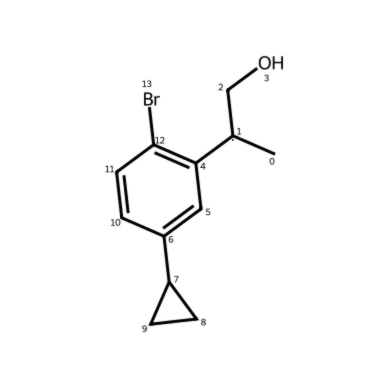 C[C](CO)c1cc(C2CC2)ccc1Br